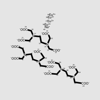 O=C([O-])CN(CCN(CC(=O)[O-])CC(=O)[O-])CC(=O)[O-].O=C([O-])CN(CCN(CC(=O)[O-])CC(=O)[O-])CC(=O)[O-].O=C([O-])CN(CCN(CC(=O)[O-])CC(=O)[O-])CC(=O)[O-].[Eu+3].[Eu+3].[Eu+3].[Eu+3].[Na+]